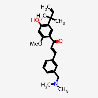 C=CC(C)(C)c1cc(C(=O)C=Cc2cccc(CN(C)C)c2)c(OC)cc1O